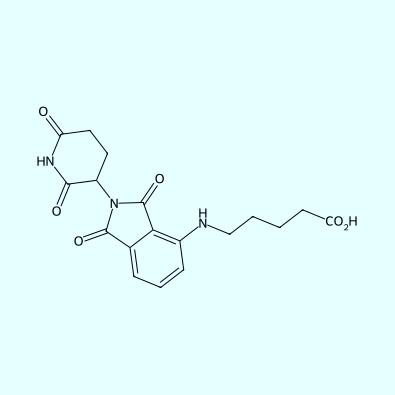 O=C(O)CCCCNc1cccc2c1C(=O)N(C1CCC(=O)NC1=O)C2=O